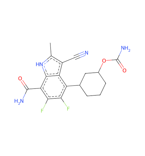 Cc1[nH]c2c(C(N)=O)c(F)c(F)c(C3CCCC(OC(N)=O)C3)c2c1C#N